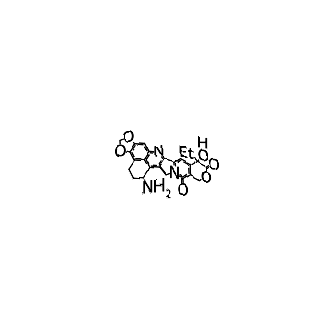 CC[C@@]1(O)C(=O)OCc2c1cc1n(c2=O)Cc2c-1nc1cc3c(c4c1c2[C@H](N)CC4)OCO3